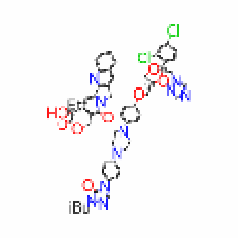 CCC(C)n1ncn(-c2ccc(N3CCN(c4ccc(OC[C@H]5CO[C@](Cn6cncn6)(c6ccc(Cl)cc6Cl)O5)cc4)CC3)cc2)c1=O.CC[C@@]1(O)C(=O)OCc2c1cc1n(c2=O)Cc2cc3ccccc3nc2-1